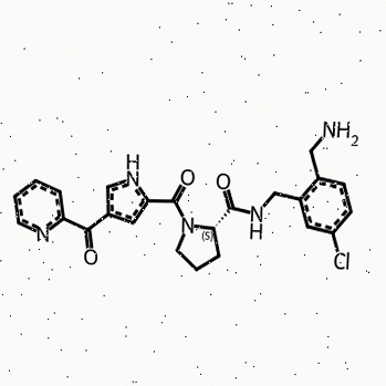 NCc1ccc(Cl)cc1CNC(=O)[C@@H]1CCCN1C(=O)c1cc(C(=O)c2ccccn2)c[nH]1